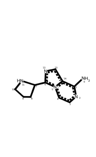 Nc1nccn2c(C3CCCN3)ncc12